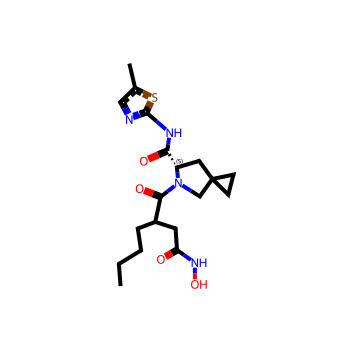 CCCCC(CC(=O)NO)C(=O)N1CC2(CC2)C[C@H]1C(=O)Nc1ncc(C)s1